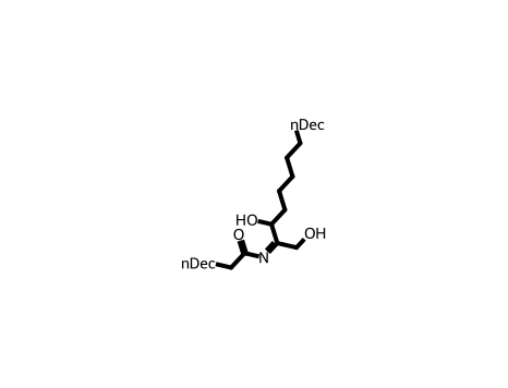 CCCCCCCCCCCCCCCC(O)/C(CO)=N\C(=O)CCCCCCCCCCC